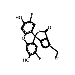 O=C1OC2(c3cc(F)c(O)cc3Oc3cc(O)c(F)cc32)c2ccc(CBr)cc21